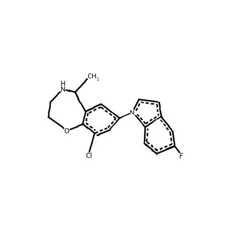 CC1NCCOc2c(Cl)cc(-n3ccc4cc(F)ccc43)cc21